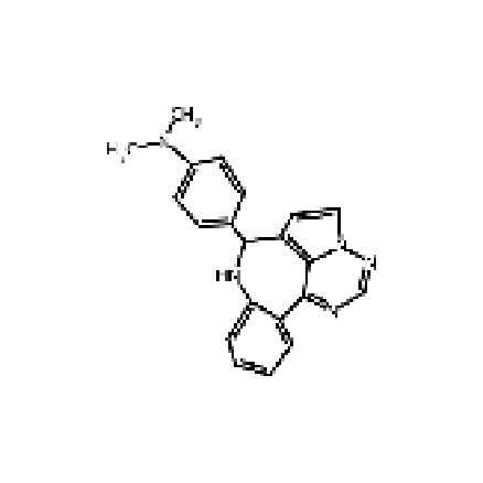 CN(C)c1ccc(C2Nc3ccccc3-c3ncnn4ccc2c34)cc1